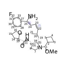 COC(C1CCC1)N1CC[C@H](NC(=O)[C@@H]2CCCO2)[C@@H]1CC(C)/C=C\C=C(/N)c1cccc(F)c1